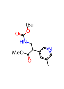 COC(=O)C(CNC(=O)OC(C)(C)C)c1cncc(C)c1